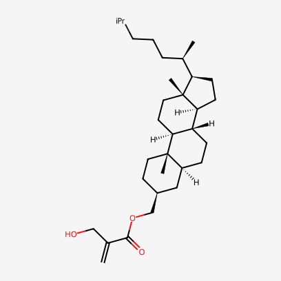 C=C(CO)C(=O)OC[C@H]1CC[C@@]2(C)[C@@H](CC[C@@H]3[C@@H]2CC[C@]2(C)[C@@H]([C@H](C)CCCC(C)C)CC[C@@H]32)C1